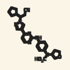 N#CCC(C1CCCC1)n1cc(-c2ccnc(Nc3ccc(N(C(=O)O)C4CCOC4)cc3)n2)cn1